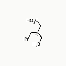 BC[C@H](CC(=O)O)CC(C)C